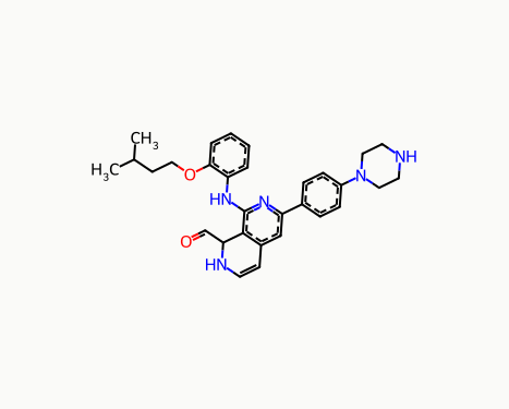 CC(C)CCOc1ccccc1Nc1nc(-c2ccc(N3CCNCC3)cc2)cc2c1C(C=O)NC=C2